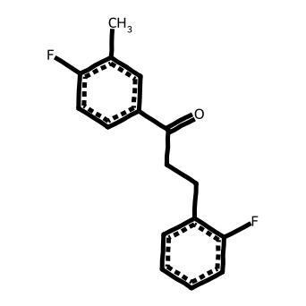 Cc1cc(C(=O)CCc2ccccc2F)ccc1F